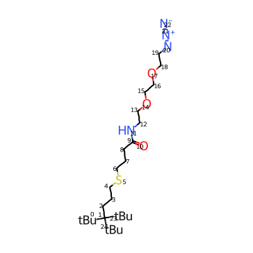 CC(C)(C)C(CCCSCCCC(=O)NCCOCCOCCN=[N+]=[N-])(C(C)(C)C)C(C)(C)C